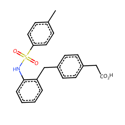 Cc1ccc(S(=O)(=O)Nc2ccccc2Cc2ccc(CC(=O)O)cc2)cc1